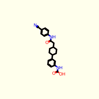 N#Cc1ccc(NC(=O)CC2CCC(c3cccc(NC(=O)O)c3)CC2)cc1